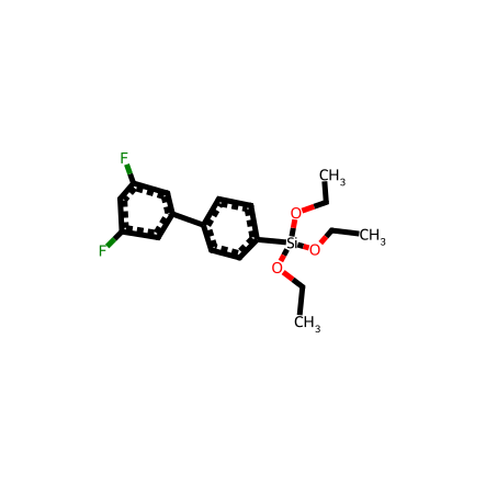 CCO[Si](OCC)(OCC)c1ccc(-c2cc(F)cc(F)c2)cc1